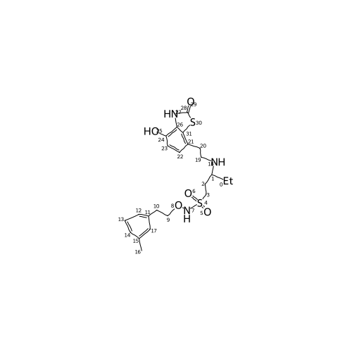 CCC(CCS(=O)(=O)NOCCc1cccc(C)c1)NCCc1ccc(O)c2[nH]c(=O)sc12